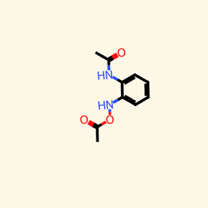 CC(=O)Nc1ccccc1NOC(C)=O